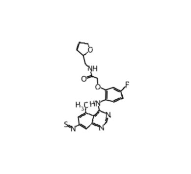 Cc1cc(N=S)cc2ncnc(Nc3ccc(F)cc3OCC(=O)NCC3CCCO3)c12